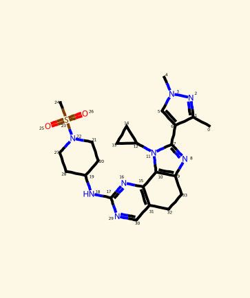 Cc1nn(C)cc1-c1nc2c(n1C1CC1)-c1nc(NC3CCN(S(C)(=O)=O)CC3)ncc1CC2